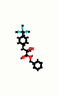 O=C(OCc1ccccc1)C(O)Cc1ccc(C(F)(F)F)cc1